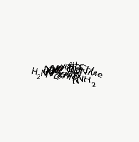 CNCC(C)OC(=O)O[C@@H]1[C@@H]2O[P@](=O)(S)OC[C@H]3O[C@@H](n4cnc5c(N)ncnc54)[C@H](C[P@](=O)(S)OC[C@H]2O[C@H]1n1cnc2c(N)ncnc21)[C@@H]3O